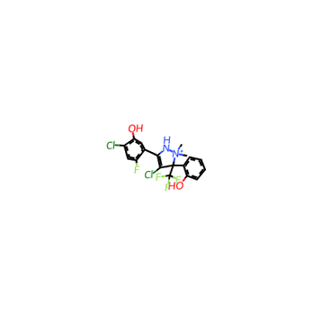 C[N+]1(C)NC(c2cc(O)c(Cl)cc2F)=C(Cl)C1(c1ccccc1O)C(F)(F)F